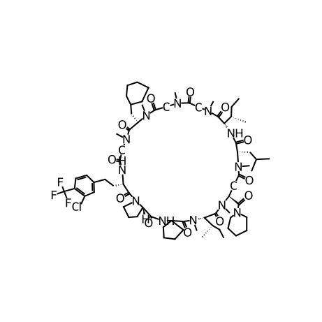 CC[C@H](C)[C@@H]1NC(=O)[C@H](CC(C)C)N(C)C(=O)C[C@@H](C(=O)N2CCCCC2)N(C)C(=O)[C@H]([C@@H](C)CC)N(C)C(=O)C2(CCCC2)NC(=O)[C@@H]2CCCN2C(=O)[C@H](CCc2ccc(C(F)(F)F)c(Cl)c2)NC(=O)CN(C)C(=O)[C@H](CC2CCCCC2)N(C)C(=O)CN(C)C(=O)CN(C)C1=O